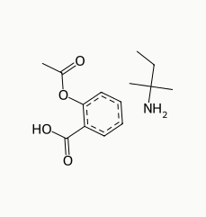 CC(=O)Oc1ccccc1C(=O)O.CCC(C)(C)N